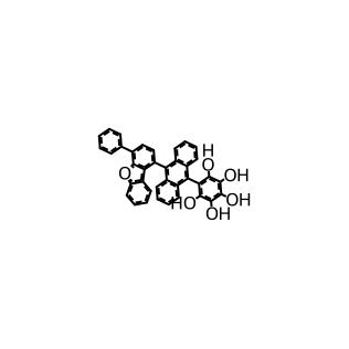 Oc1c(O)c(O)c(-c2c3ccccc3c(-c3ccc(-c4ccccc4)c4oc5ccccc5c34)c3ccccc23)c(O)c1O